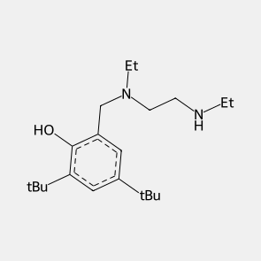 CCNCCN(CC)Cc1cc(C(C)(C)C)cc(C(C)(C)C)c1O